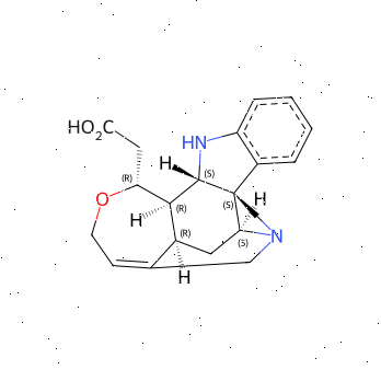 O=C(O)C[C@H]1OCC=C2CN3CC[C@]45c6ccccc6N[C@H]4[C@H]1[C@H]2C[C@H]35